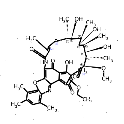 CCOc1c(C)c(O)c2c(=O)c3c4oc5c(C)c(C)cc(C)c5nc-4c2c1C(=O)O/C=C/[C@H](OC)[C@@H](C)[C@@H](O)[C@H](C)[C@H](O)[C@H](C)[C@@H](O)[C@@H](C)/C=C/C=C(/C)C(=O)N3